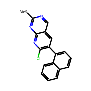 CSc1ncc2cc(-c3cccc4ccccc34)c(Cl)nc2n1